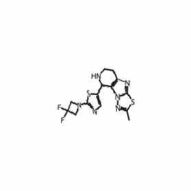 Cc1nn2c3c(nc2s1)CCNC3c1cnc(N2CC(F)(F)C2)s1